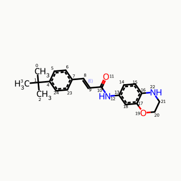 CC(C)(C)c1ccc(/C=C/C(=O)Nc2ccc3c(c2)OCCN3)cc1